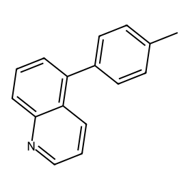 Cc1ccc(-c2cccc3ncccc23)cc1